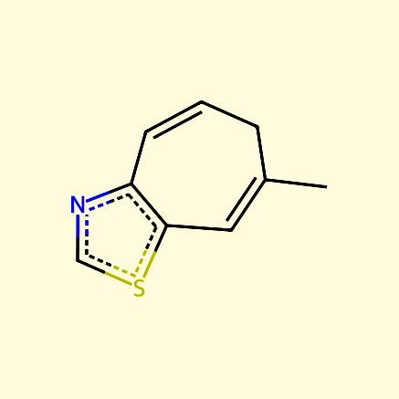 CC1=Cc2scnc2C=CC1